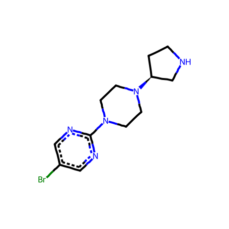 Brc1cnc(N2CCN([C@H]3CCNC3)CC2)nc1